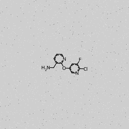 NCc1cccnc1Oc1cnc(Cl)c(F)c1